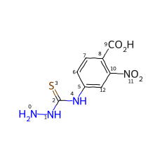 NNC(=S)Nc1ccc(C(=O)O)c([N+](=O)[O-])c1